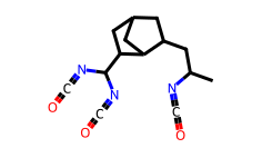 CC(CC1CC2CC1C(C(N=C=O)N=C=O)C2)N=C=O